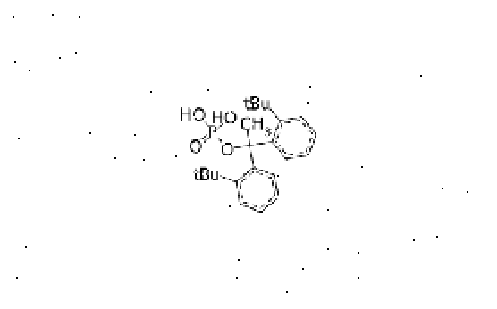 CC(C)(C)c1ccccc1C(C)(OP(=O)(O)O)c1ccccc1C(C)(C)C